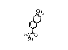 CN1CCc2cc(C(=O)NS)ccc2C1